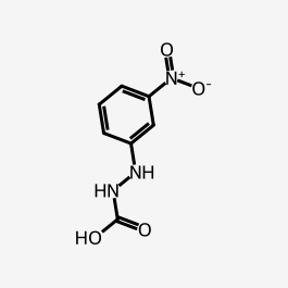 O=C(O)NNc1cccc([N+](=O)[O-])c1